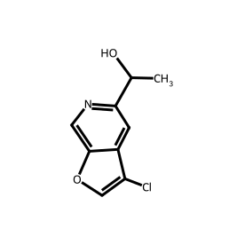 CC(O)c1cc2c(Cl)coc2cn1